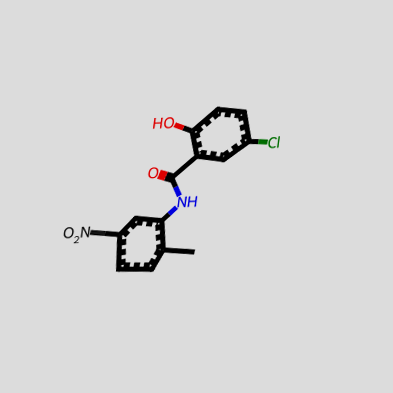 Cc1ccc([N+](=O)[O-])cc1NC(=O)c1cc(Cl)ccc1O